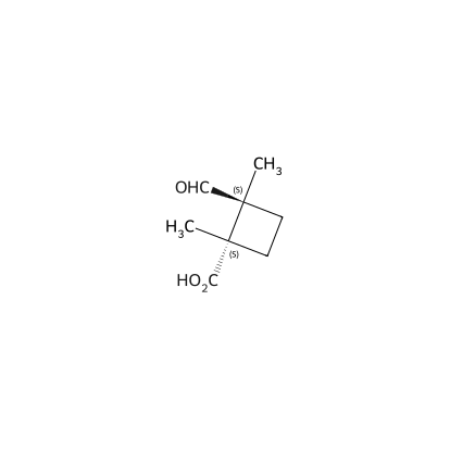 C[C@]1(C=O)CC[C@]1(C)C(=O)O